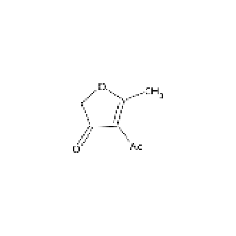 CC(=O)C1=C(C)OCC1=O